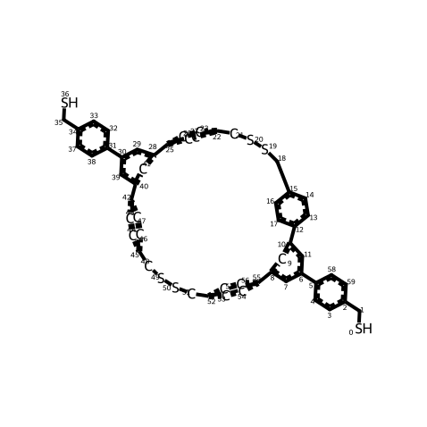 SCc1ccc(-c2cc3cc(c2)-c2ccc(cc2)CSSCc2ccc(cc2)-c2cc(-c4ccc(CS)cc4)cc(c2)-c2ccc(cc2)CSSCc2ccc-3cc2)cc1